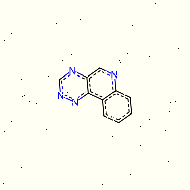 c1ccc2c(c1)ncc1ncnnc12